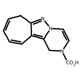 O=C(O)N1C=Cn2nc3c(c2C1)C=CC=CC3